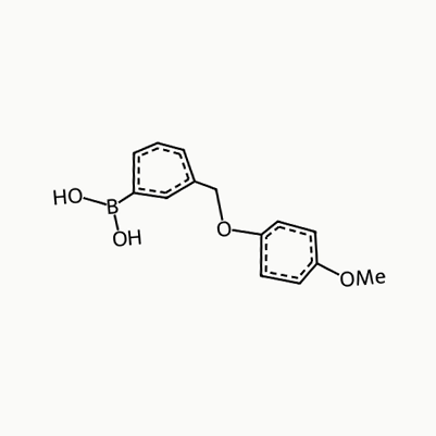 COc1ccc(OCc2cccc(B(O)O)c2)cc1